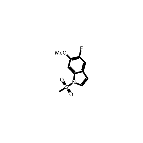 COc1cc2c(ccn2S(C)(=O)=O)cc1F